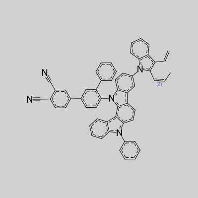 C=Cc1c(/C=C\C)n(-c2ccc3c(c2)c2ccc4c(c5ccccc5n4-c4ccccc4)c2n3-c2ccc(-c3ccc(C#N)c(C#N)c3)cc2-c2ccccc2)c2ccccc12